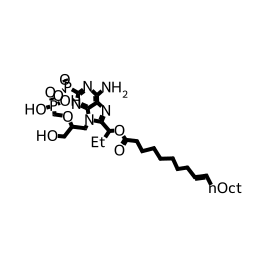 CCCCCCCCC=CCCCCCCCC(=O)OC(CC)c1nc2c(N)nc(P(=O)=O)nc2n1CC(CO)OCP(=O)(O)O